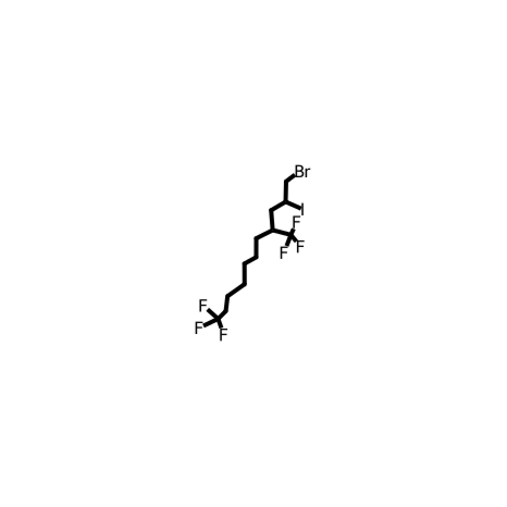 FC(F)(F)CCCCCCC(CC(I)CBr)C(F)(F)F